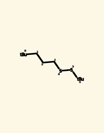 CC(C)(C)CCCSSC(C)(C)C